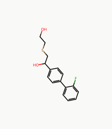 OCCSCC(O)c1ccc(-c2ccccc2F)cc1